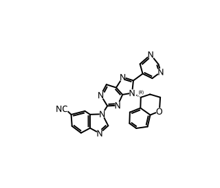 N#Cc1ccc2ncn(-c3ncc4nc(-c5cncnc5)n([C@@H]5CCOc6ccccc65)c4n3)c2c1